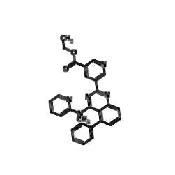 CCOC(=O)c1cncc(-c2nc(N(C)c3ccccn3)c3c(-c4ccccc4)cccc3n2)c1